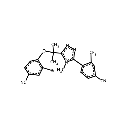 Cn1c(-c2ccc(C#N)cc2C(F)(F)F)nnc1C(C)(C)Oc1ccc(C#N)cc1Br